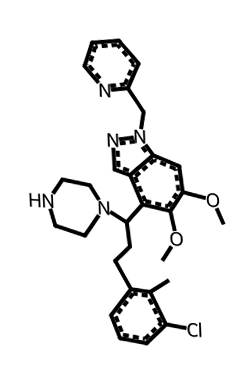 COc1cc2c(cnn2Cc2ccccn2)c(C(CCc2cccc(Cl)c2C)N2CCNCC2)c1OC